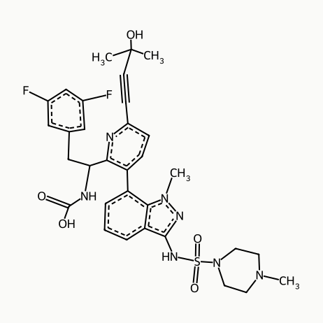 CN1CCN(S(=O)(=O)Nc2nn(C)c3c(-c4ccc(C#CC(C)(C)O)nc4C(Cc4cc(F)cc(F)c4)NC(=O)O)cccc23)CC1